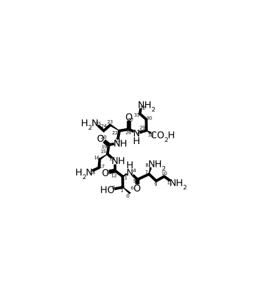 C[C@@H](O)[C@H](NC(=O)[C@@H](N)CCN)C(=O)N[C@@H](CCN)C(=O)N[C@@H](CCN)C(=O)N[C@@H](CCN)C(=O)O